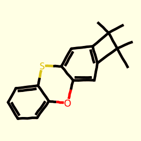 CC1(C)c2cc3c(cc2C1(C)C)Sc1ccccc1O3